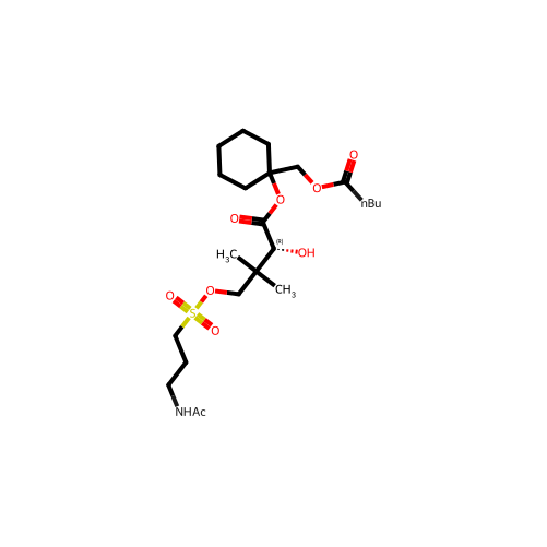 CCCCC(=O)OCC1(OC(=O)[C@H](O)C(C)(C)COS(=O)(=O)CCCNC(C)=O)CCCCC1